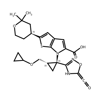 CC1(C)C[C@@H](c2cc3cc(C(=O)O)n([C@@]4(C5=NOC(=C=O)N5)C[C@@H]4COC4CC4)c3s2)CCO1